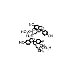 C[C@@H](C(=O)O)N(C)CCCC1(c2ccc(C#N)cc2)OCc2cc(C#N)ccc21.Cc1cc(C2(CCCN(C)CC(=O)O)OCc3cc(C#N)ccc32)ccc1F